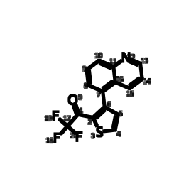 O=C(c1sccc1-c1cccc2ncccc12)C(F)(F)F